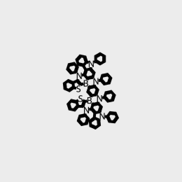 c1ccc(N2c3cc4c(cc3B3c5sc6ccccc6c5N(c5ccccc5)c5c3c2cc2c5c3ccccc3n2-c2ccccc2)B2c3sc5ccccc5c3N(c3ccccc3)c3c2c(cc2c3c3ccccc3n2-c2ccccc2)N4c2ccccc2)cc1